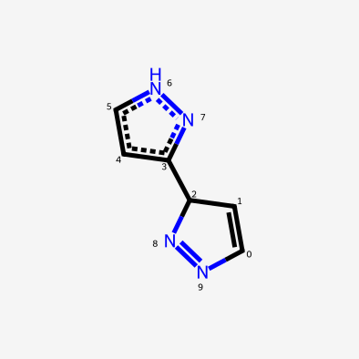 C1=CC(c2cc[nH]n2)N=N1